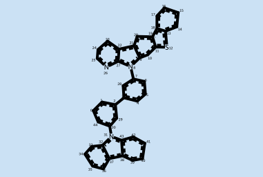 c1cc(-c2cccc(-n3c4cc5sc6ccccc6c5cc4c4cccnc43)c2)cc(-n2c3ccccc3c3ccccc32)c1